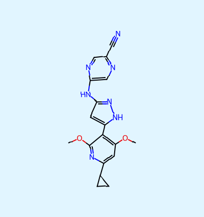 COc1cc(C2CC2)nc(OC)c1-c1cc(Nc2cnc(C#N)cn2)n[nH]1